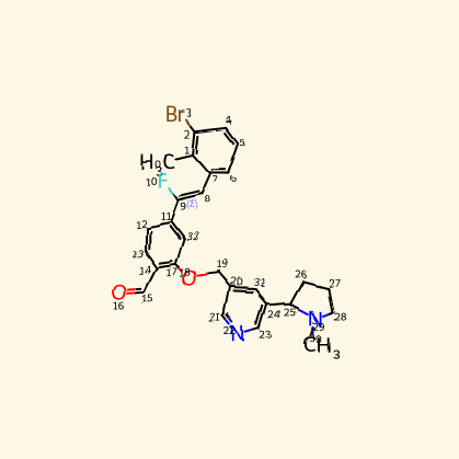 Cc1c(Br)cccc1/C=C(\F)c1ccc(C=O)c(OCc2cncc(C3CCCN3C)c2)c1